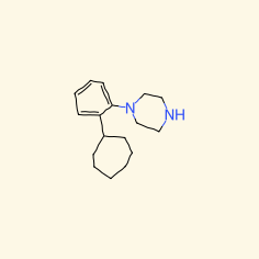 c1ccc(N2CCNCC2)c(C2CCCCCC2)c1